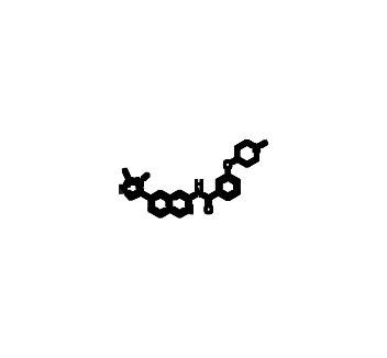 Cc1ncc(-c2ccc3cnc(NC(=O)c4cccc(OC5CCN(C)CC5)c4)cc3c2)n1C